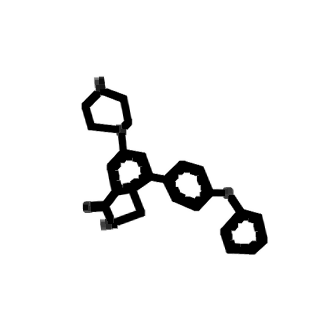 O=C1NCc2c1cc(N1CCNCC1)cc2-c1ccc(Oc2ccccc2)cc1